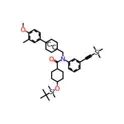 COc1ccc(C23CCC(CN(C(=O)C4CCC(O[Si](C)(C)C(C)(C)C)CC4)c4cccc(C#C[Si](C)(C)C)c4)(CC2)CC3)cc1C